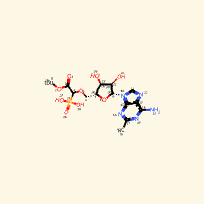 CC(C)(C)OC(=O)C(OC[C@H]1O[C@@H](n2cnc3c(N)nc(C#N)nc32)[C@H](O)[C@@H]1O)P(=O)(O)O